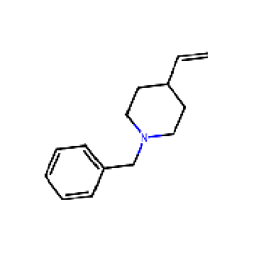 C=CC1CCN(Cc2ccccc2)CC1